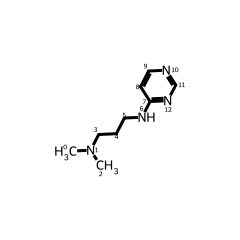 CN(C)CCCNc1ccncn1